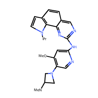 CNC1CN(c2cnc(Nc3ncc4ccc5ccn(C(C)C)c5c4n3)cc2OC)C1